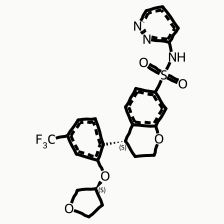 O=S(=O)(Nc1cccnn1)c1ccc2c(c1)OCC[C@@H]2c1ccc(C(F)(F)F)cc1O[C@H]1CCOC1